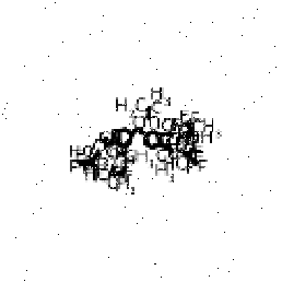 C=C(C)C(=O)OC(C1CCC(C(C)(C)OCC(O)(C(F)(F)F)C(F)(F)F)C(C(C)(C)OCC(C)(O)C(F)(F)F)C1)C1CCC(C(C)(C)OCC(O)(C(F)(F)F)C(F)(F)F)C(C(C)(C)OCC(C)(O)C(F)(F)F)C1